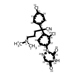 CN(C)CCCC(C#N)(c1ccc(Cl)cc1)c1ccc(-n2ncc(=O)[nH]c2=O)cc1Cl